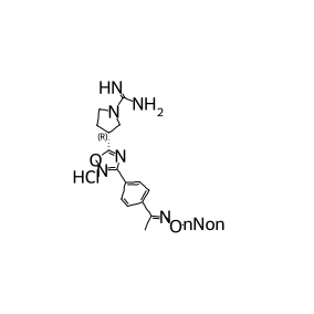 CCCCCCCCCON=C(C)c1ccc(-c2noc([C@@H]3CCN(C(=N)N)C3)n2)cc1.Cl